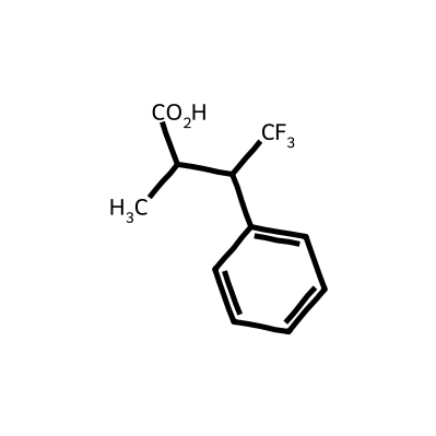 CC(C(=O)O)C(c1ccccc1)C(F)(F)F